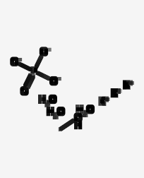 CO.O.O.O.O=P([O-])([O-])[O-].[K+].[K+].[K+]